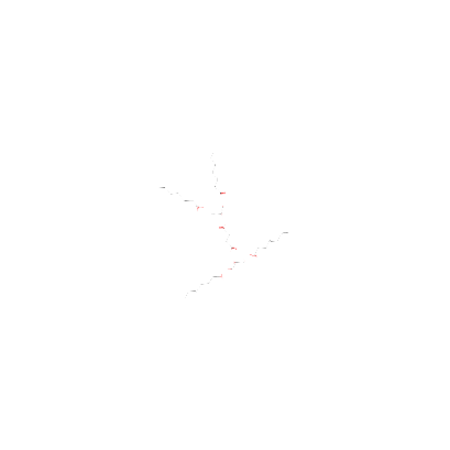 CCCCCCC(=O)OCC(COC(=O)CCCCCC)OC(=O)CCC(=O)OC(COC(=O)CCCCCC)COC(=O)CCCCCC